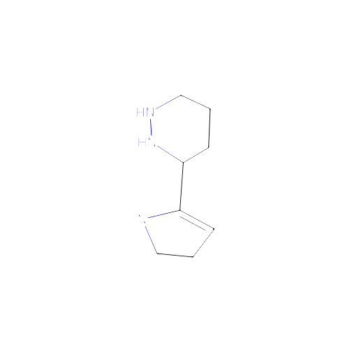 C1=C(C2CCCNN2)[N]CC1